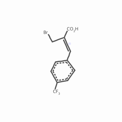 O=C(O)/C(=C/c1ccc(C(F)(F)F)cc1)CBr